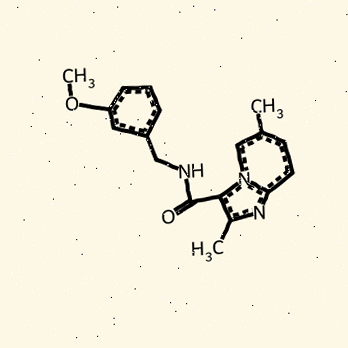 COc1cccc(CNC(=O)c2c(C)nc3ccc(C)cn23)c1